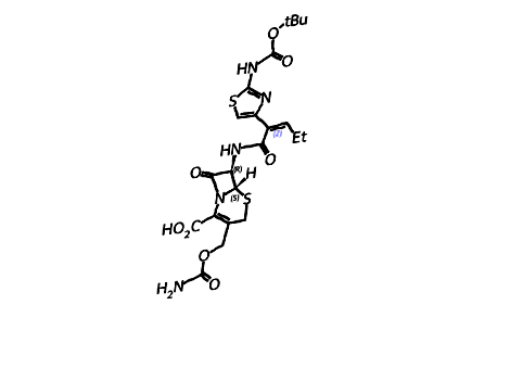 CC/C=C(\C(=O)N[C@@H]1C(=O)N2C(C(=O)O)=C(COC(N)=O)CS[C@@H]12)c1csc(NC(=O)OC(C)(C)C)n1